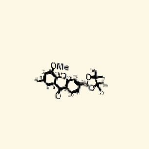 COc1cc(C)cc2c(=O)c3ccc(B4OC(C)(C)C(C)(C)O4)cc3oc12